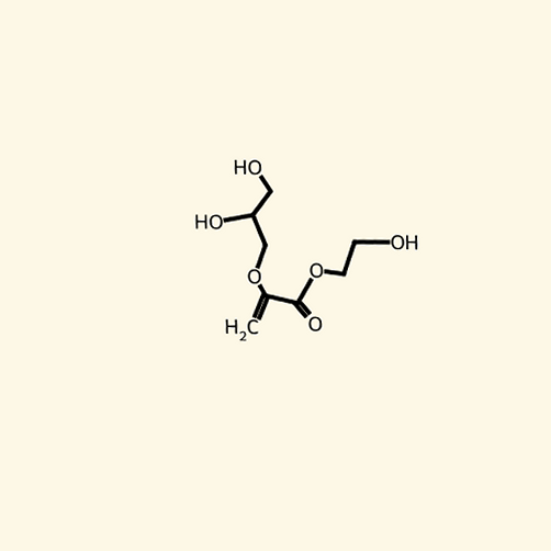 C=C(OCC(O)CO)C(=O)OCCO